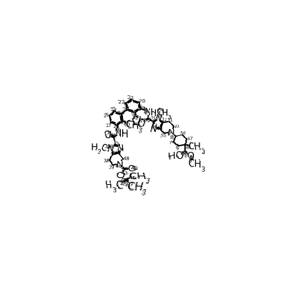 CO[C@@H](O)C1(C)CCC(N2CCc3c(nc(C(=O)Nc4cccc(-c5cccc(NC(=O)c6nc7c(n6C)CCN(C(=O)OC(C)(C)C)C7)c5C)c4Cl)n3C)C2)CC1